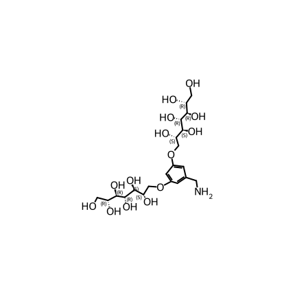 NCc1cc(OC[C@H](O)[C@H](O)[C@H](O)[C@H](O)[C@H](O)CO)cc(OC[C@H](O)[C@H](O)[C@H](O)[C@H](O)[C@H](O)CO)c1